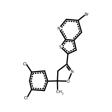 CC1(c2cc(Cl)cc(Cl)c2)CC(c2cc3cc(Br)cnc3s2)=NO1